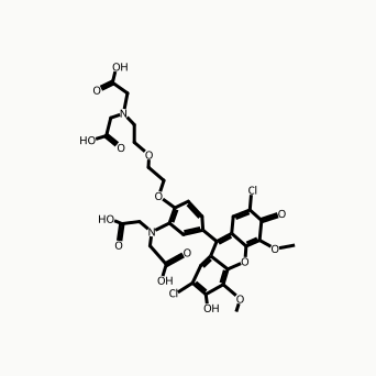 COc1c2oc3c(OC)c(O)c(Cl)cc3c(-c3ccc(OCCOCCN(CC(=O)O)CC(=O)O)c(N(CC(=O)O)CC(=O)O)c3)c-2cc(Cl)c1=O